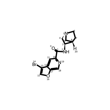 O=C(N[C@H]1C[N@]2CC[C@H]1C2)c1cc2c(Br)coc2cn1